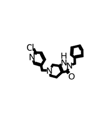 O=c1c2c([nH]n1Cc1ccccc1)CN(Cc1ccc(Cl)nc1)CC2